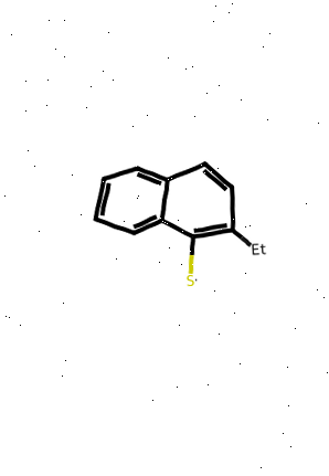 CCc1ccc2ccccc2c1[S]